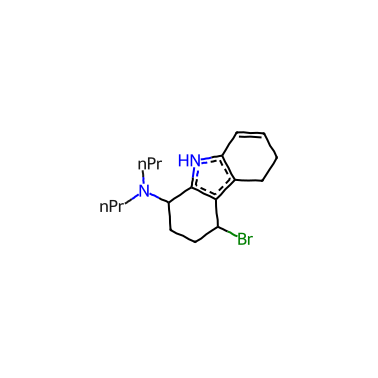 CCCN(CCC)C1CCC(Br)c2c1[nH]c1c2CCC=C1